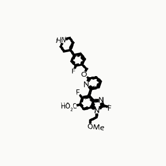 COCCn1c(F)nc2c(-c3cccc(OCc4ccc(C5=CCNCC5)cc4F)n3)c(F)c(C(=O)O)cc21